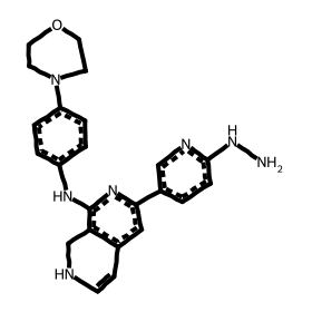 NNc1ccc(-c2cc3c(c(Nc4ccc(N5CCOCC5)cc4)n2)CNC=C3)cn1